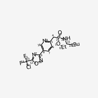 CCOP(=O)(Cc1ccc(-c2noc(C(F)(F)Cl)n2)cn1)NCC(C)(C)C